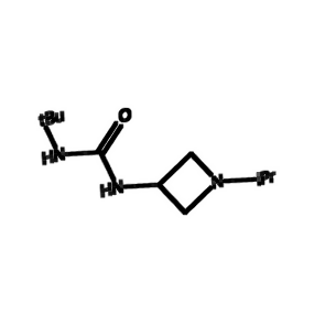 CC(C)N1CC(NC(=O)NC(C)(C)C)C1